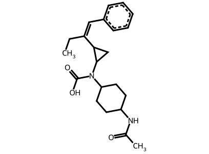 CCC(=Cc1ccccc1)C1CC1N(C(=O)O)C1CCC(NC(C)=O)CC1